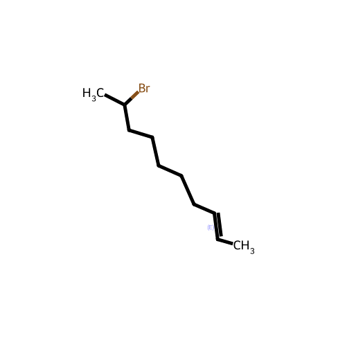 C/C=C/CCCCCC(C)Br